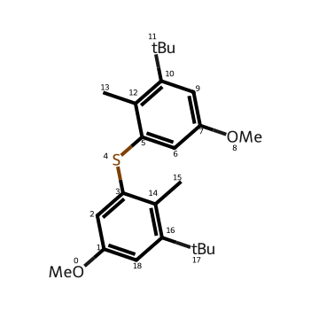 COc1cc(Sc2cc(OC)cc(C(C)(C)C)c2C)c(C)c(C(C)(C)C)c1